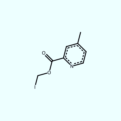 Cc1ccnc(C(=O)OCI)c1